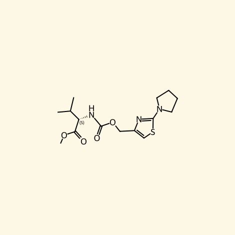 COC(=O)[C@@H](NC(=O)OCc1csc(N2CCCC2)n1)C(C)C